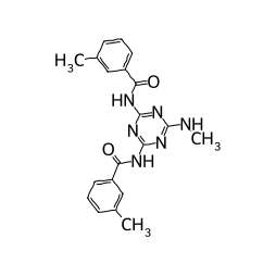 CNc1nc(NC(=O)c2cccc(C)c2)nc(NC(=O)c2cccc(C)c2)n1